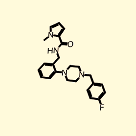 Cn1cccc1C(=O)NCc1ccccc1N1CCN(Cc2ccc(F)cc2)CC1